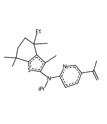 C=C(C)c1ccc(N(c2sc3c(c2C)C(C)(CC)CCC3(C)C)C(C)C)nc1